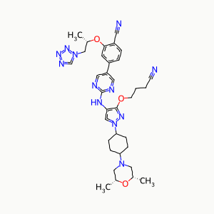 C[C@@H]1CN(C2CCC(n3cc(Nc4ncc(-c5ccc(C#N)c(O[C@@H](C)Cn6cnnn6)c5)cn4)c(OCCCC#N)n3)CC2)C[C@H](C)O1